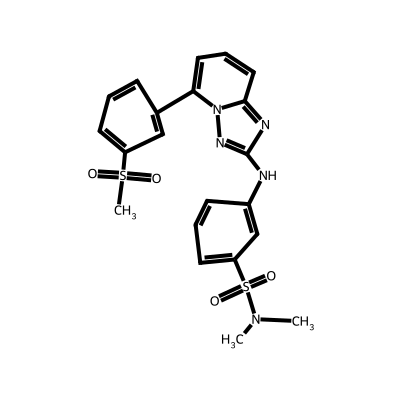 CN(C)S(=O)(=O)c1cccc(Nc2nc3cccc(-c4cccc(S(C)(=O)=O)c4)n3n2)c1